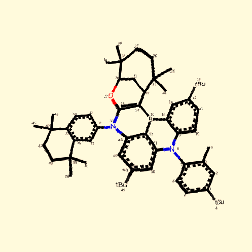 Cc1cc(C(C)(C)C)ccc1N1c2ccc(C(C)(C)C)cc2B2C3=C(OC4CC3C(C)(C)CCC4(C)C)N(c3ccc4c(c3)C(C)(C)CCC4(C)C)c3cc(C(C)(C)C)cc1c32